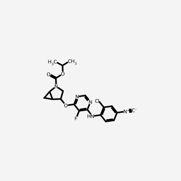 [C-]#[N+]c1ccc(Nc2ncnc(OC3CN(C(=O)OC(C)C)C4CC34)c2F)c(Cl)c1